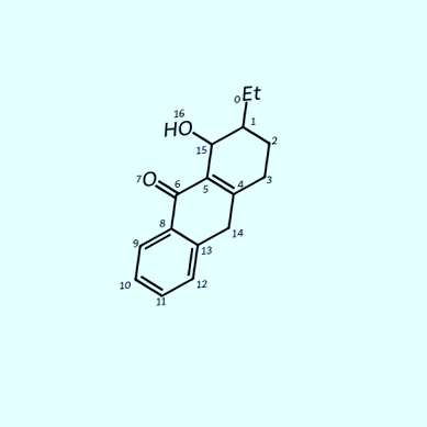 CCC1CCC2=C(C(=O)c3ccccc3C2)C1O